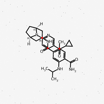 Cc1cc(C(N)=O)c(NC(C)C)cc1C(=O)N[C@H]1C[C@H]2CC[C@@H](C1)N2c1ccc(C(=O)C2CC2)cn1